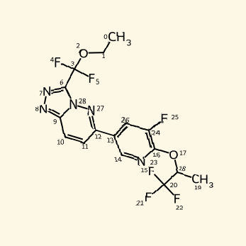 CCOC(F)(F)c1nnc2ccc(-c3cnc(OC(C)C(F)(F)F)c(F)c3)nn12